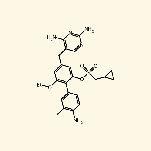 CCOc1cc(Cc2cnc(N)nc2N)cc(OS(=O)(=O)CC2CC2)c1-c1ccc(N)c(C)c1